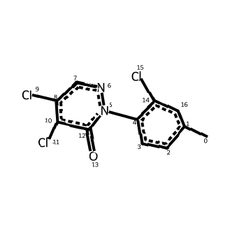 Cc1ccc(-n2ncc(Cl)c(Cl)c2=O)c(Cl)c1